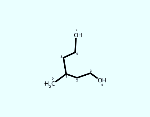 [CH2]C(CCO)CCO